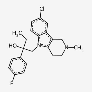 CCC(O)(Cn1c2c(c3cc(Cl)ccc31)CN(C)CC2)c1ccc(F)cc1